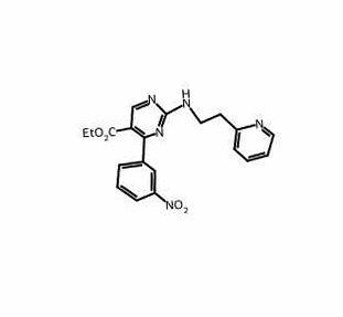 CCOC(=O)c1cnc(NCCc2ccccn2)nc1-c1cccc([N+](=O)[O-])c1